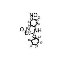 CCC(Nc1ccc([N+](=O)[O-])cc1[N+](=O)[O-])[si]1ccccc1